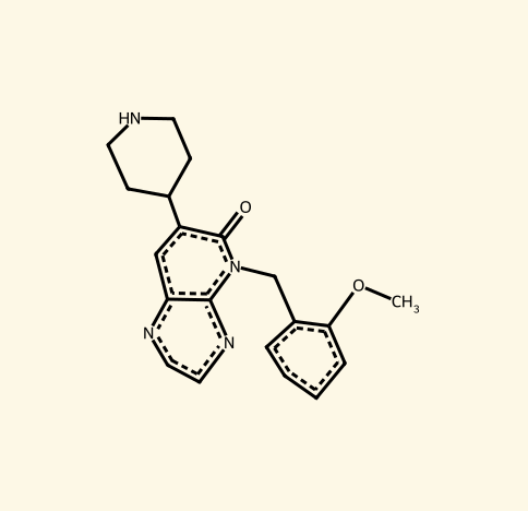 COc1ccccc1Cn1c(=O)c(C2CCNCC2)cc2nccnc21